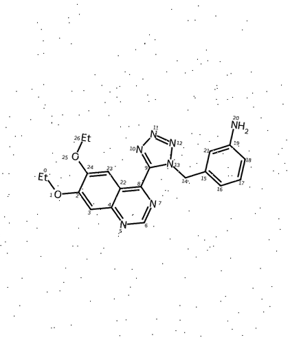 CCOc1cc2ncnc(-c3nnnn3Cc3cccc(N)c3)c2cc1OCC